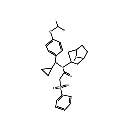 CN1C2CCC1CC(N(C(=O)CS(=O)(=O)c1ccccc1)C(c1ccc(OC(F)F)cc1)C1CC1)C2